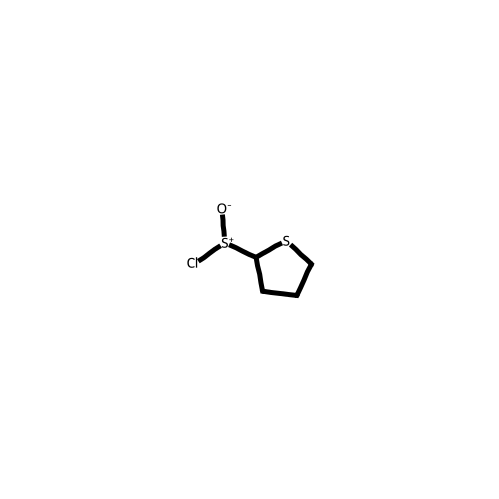 [O-][S+](Cl)C1CCCS1